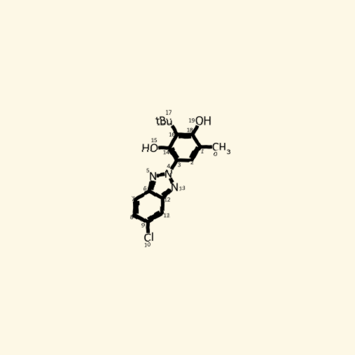 Cc1cc(-n2nc3ccc(Cl)cc3n2)c(O)c(C(C)(C)C)c1O